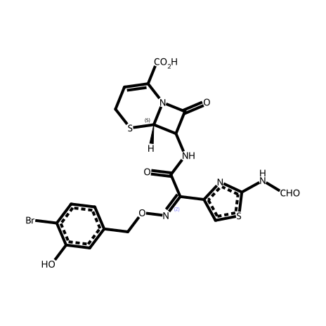 O=CNc1nc(/C(=N/OCc2ccc(Br)c(O)c2)C(=O)NC2C(=O)N3C(C(=O)O)=CCS[C@@H]23)cs1